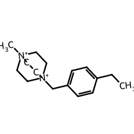 CCc1ccc(C[N+]23CC[N+](C)(CC2)CC3)cc1